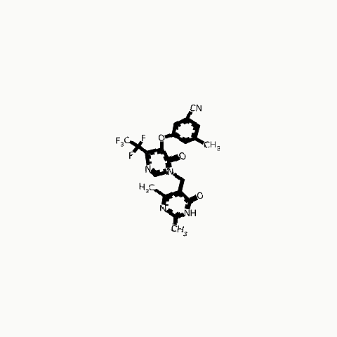 Cc1cc(C#N)cc(Oc2c(C(F)(F)C(F)(F)F)ncn(Cc3c(C)nc(C)[nH]c3=O)c2=O)c1